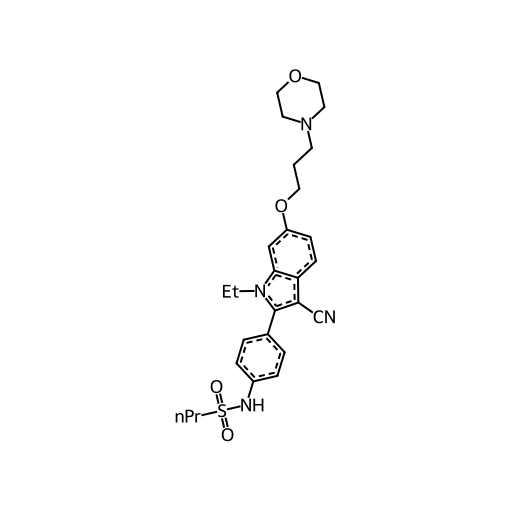 CCCS(=O)(=O)Nc1ccc(-c2c(C#N)c3ccc(OCCCN4CCOCC4)cc3n2CC)cc1